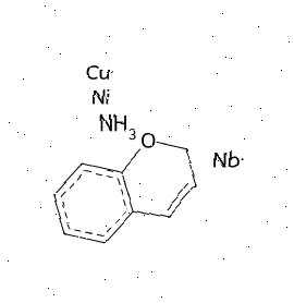 C1=Cc2ccccc2OC1.N.[Cu].[Nb].[Ni]